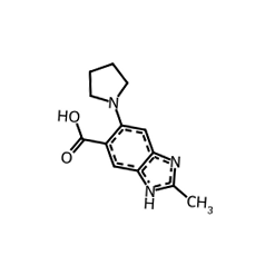 Cc1nc2cc(N3CCCC3)c(C(=O)O)cc2[nH]1